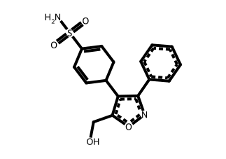 NS(=O)(=O)C1=CCC(c2c(-c3ccccc3)noc2CO)C=C1